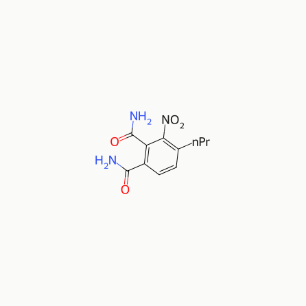 CCCc1ccc(C(N)=O)c(C(N)=O)c1[N+](=O)[O-]